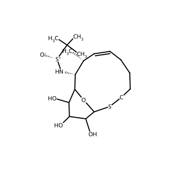 C[C@@H]1/C=C\CCCCSC2OC(C(O)C(O)C2O)[C@@H]1N[S@+]([O-])C(C)(C)C